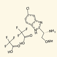 COC[C@@H](N)c1nc2cc(Cl)ccc2[nH]1.O=C(O)C(F)(F)F.O=C(O)C(F)(F)F